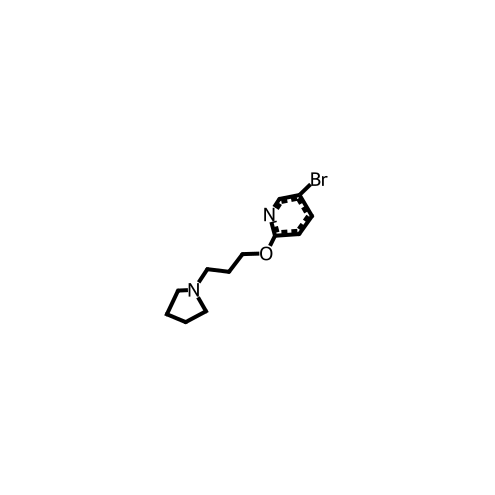 Brc1ccc(OCCCN2CCCC2)nc1